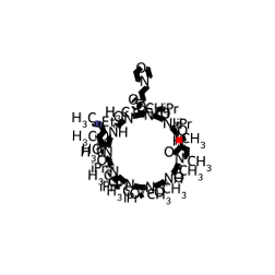 C/C=C/C[C@@H](C)[C@@H](O)[C@@H]1C(=O)N[C@H](CC)C(=O)N(C)[C@H](CS(=O)(=O)CCCN2CCOCC2)C(=O)N(C)[C@@H](CC(C)C)C(=O)N[C@H](C(C)C)C(=O)N(C)[C@@H]2CC(C)N(C2=O)[C@H](C)C(=O)N[C@@H](C)C(=O)N(C)[C@H](CC(C)C)C(=O)N(C)[C@H](CC(C)C)C(=O)N(C)[C@H](C(C)C)C(=O)N1C